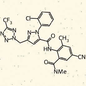 CNC(=O)c1cc(C#N)cc(C)c1NC(=O)c1cc(Cn2nnc(C(F)(F)F)n2)nn1-c1ccccc1Cl